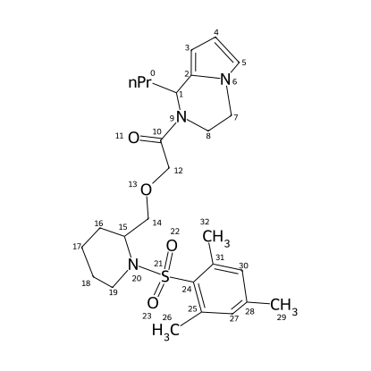 CCCC1c2cccn2CCN1C(=O)COCC1CCCCN1S(=O)(=O)c1c(C)cc(C)cc1C